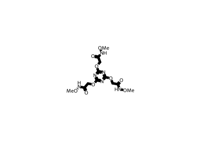 CONC(=O)COc1nc(OCC(=O)NOC)nc(OCC(=O)NOC)n1